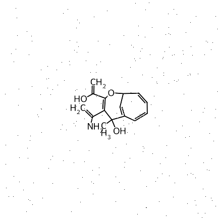 C=C(N)C1=C(C(=C)O)OC2C=CC=CC(=C2)C1(C)O